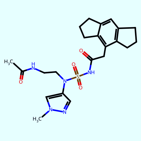 CC(=O)NCCN(c1cnn(C)c1)S(=O)(=O)NC(=O)Cc1c2c(cc3c1CCC3)CCC2